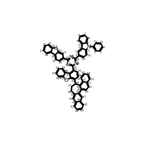 c1ccc(-n2c3ccccc3c3cc(-c4nc(-c5ccc6c(c5)sc5ccccc56)nc(-c5ccc(C6CCc7cc8ccccc8cc7-c7ccc8ccccc8c76)c6oc7ccccc7c56)n4)ccc32)cc1